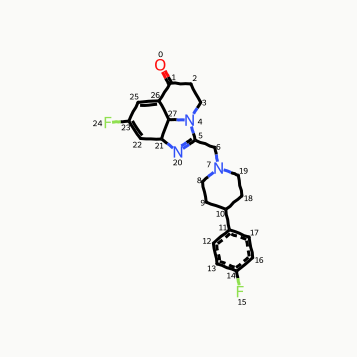 O=C1CCN2C(CN3CCC(c4ccc(F)cc4)CC3)=NC3C=C(F)C=C1C32